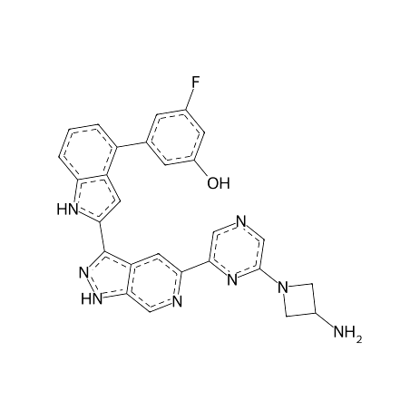 NC1CN(c2cncc(-c3cc4c(-c5cc6c(-c7cc(O)cc(F)c7)cccc6[nH]5)n[nH]c4cn3)n2)C1